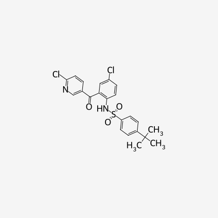 CC(C)(C)c1ccc(S(=O)(=O)Nc2ccc(Cl)cc2C(=O)c2ccc(Cl)nc2)cc1